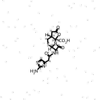 Nc1nc(CC(=O)N[C@@H]2C(=O)N3[C@@H]2SC[C@@H]2CC(=O)O[C@@]23C(=O)O)cs1